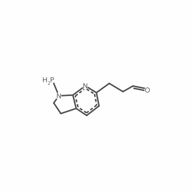 O=CCCc1ccc2c(n1)N(P)CC2